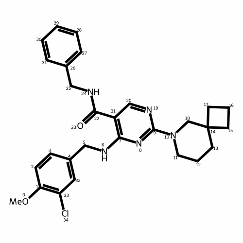 COc1ccc(CNc2nc(N3CCCC4(CCC4)C3)ncc2C(=O)NCc2ccccc2)cc1Cl